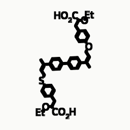 CCOC(Cc1ccc(OC/C=C(/C)c2ccc(-c3ccc(/C(C)=C\CSc4ccc(CC(OCC)C(=O)O)cc4)cc3)cc2)cc1)C(=O)O